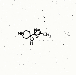 Cc1cnc(C2(O)CCNCC2)s1